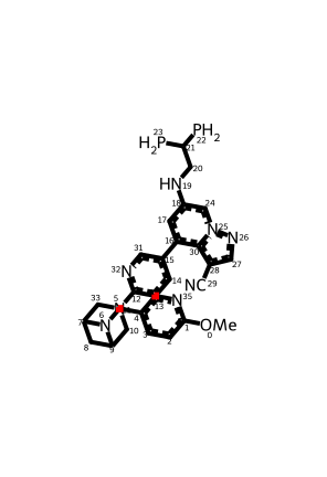 COc1ccc(CN2C3CC2CN(c2ccc(-c4cc(NCC(P)P)cn5ncc(C#N)c45)cn2)C3)cn1